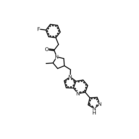 CC1CC(Cn2ccc3nc(-c4cn[nH]c4)ccc32)CN1C(=O)Cc1cccc(F)c1